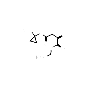 C=C(CC(=O)OC1(CCCCC)CC1)C(=O)OCC(=O)O